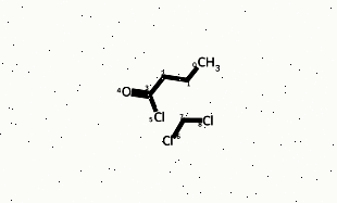 CCCC(=O)Cl.ClCCl